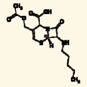 CCCCCNC1C(=O)N2C(C(=O)O)C(COC(C)=O)=CS[C@@H]12